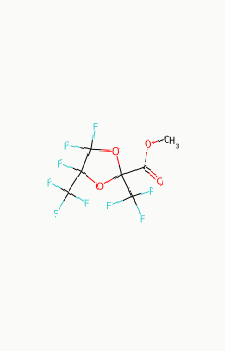 COC(=O)C1(C(F)(F)F)OC(F)(F)C(F)(C(F)(F)F)O1